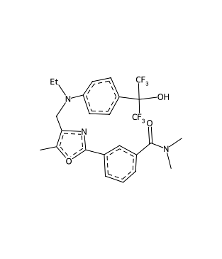 CCN(Cc1nc(-c2cccc(C(=O)N(C)C)c2)oc1C)c1ccc(C(O)(C(F)(F)F)C(F)(F)F)cc1